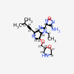 CCn1c(-c2nonc2N)nc2c(C#CC(C)C)ncc(OC[C@@H]3CNCCO3)c21